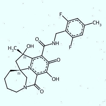 Cc1cc(F)c(CNC(=O)c2c3n4c(c(O)c2=O)C(=O)N2CCCC[C@@]4(C2)C[C@]3(C)O)c(F)c1